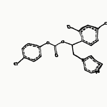 O=C(Oc1ccc(Cl)cc1)OC(Cn1ccnc1)c1ccc(Cl)cc1Cl